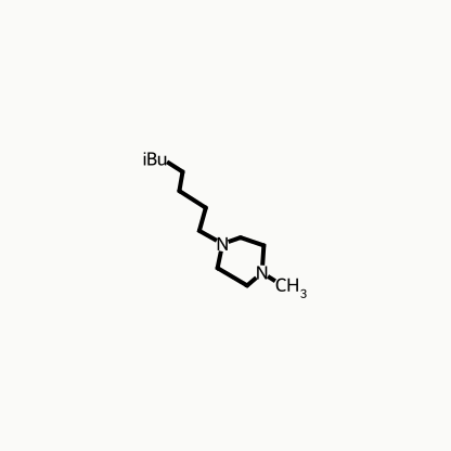 CCC(C)CCCCN1CCN(C)CC1